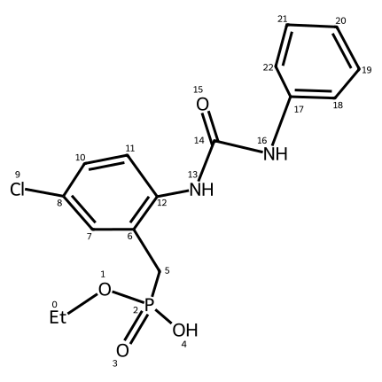 CCOP(=O)(O)Cc1cc(Cl)ccc1NC(=O)Nc1ccccc1